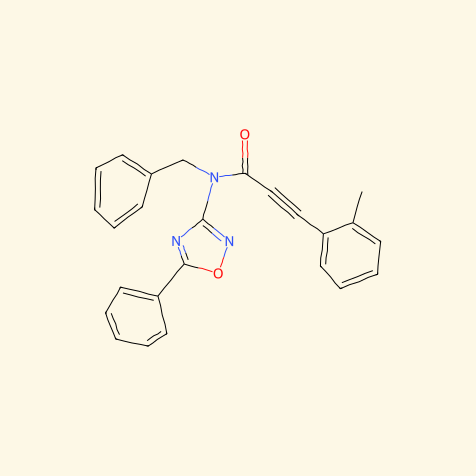 Cc1ccccc1C#CC(=O)N(Cc1ccccc1)c1noc(-c2ccccc2)n1